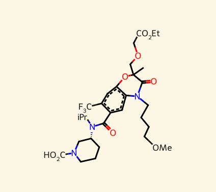 CCOC(=O)COCC1(C)Oc2cc(C(F)(F)F)c(C(=O)N(C(C)C)[C@@H]3CCCN(C(=O)O)C3)cc2N(CCCCOC)C1=O